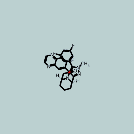 Cn1nc2c(c1-c1cc(F)cc(F)c1)C[C@@H]1CCC[C@H]2N1C(=O)c1cc2nccnc2cc1F